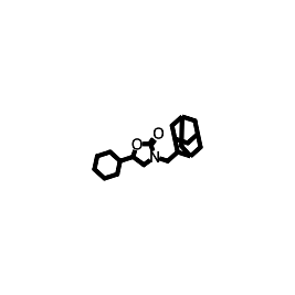 O=C1OC(C2CCCCC2)CN1CC1C2CC3CC(C2)CC1C3